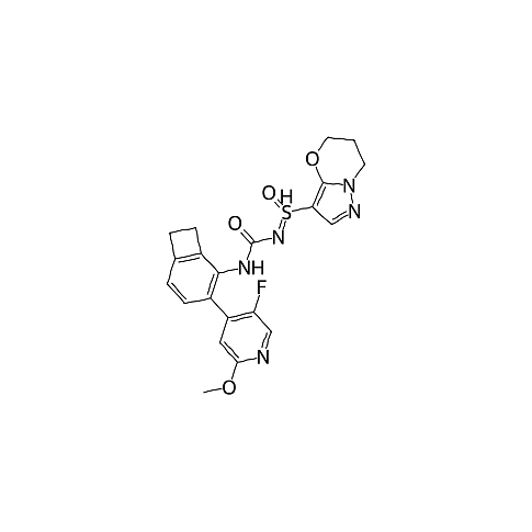 COc1cc(-c2ccc3c(c2NC(=O)N=[SH](=O)c2cnn4c2OCCC4)CC3)c(F)cn1